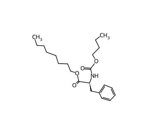 CCCCCCCCOC(=O)[C@H](Cc1ccccc1)NC(=O)OCCCC